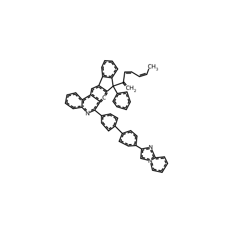 C=C(/C=C\C=C/C)C1(c2ccccc2)c2ccccc2-c2cc3c(cc21)c(-c1ccc(-c2ccc(-c4cn5ccccc5n4)cc2)cc1)nc1ccccc13